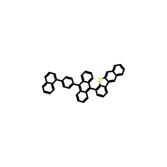 c1ccc2cc3c(cc2c1)sc1c(-c2c4ccccc4c(-c4ccc(-c5cccc6ccccc56)cc4)c4ccccc24)cccc13